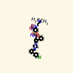 CN(C)CCCNc1ccc(S(=O)(=O)NC(=O)c2ccc(N3CCN(Cc4ccccc4-c4ccc(Cl)cc4)CC3)cc2-c2ccccc2)cc1[N+](=O)[O-]